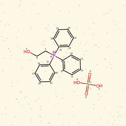 O=S(=O)(O)O.OCC[PH](c1ccccc1)(c1ccccc1)c1ccccc1